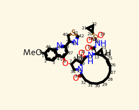 COc1ccc2c(O[C@@H]3C[C@H]4C(=O)N[C@]5(C(=O)NS(=O)(=O)C6CC6)C[C@H]5/C=C\CCCCCCC(=O)N4C3)cc(C3CSC=N3)nc2c1